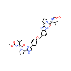 COO/C=N\[C@H](C(=O)N1CCC[C@H]1c1nc2cc(COc3ccc(-c4c[nH]c([C@@H]5CCCN5C(=O)[C@@H](NC(=O)OC)C(C)C)n4)cc3)ccc2[nH]1)C(C)C